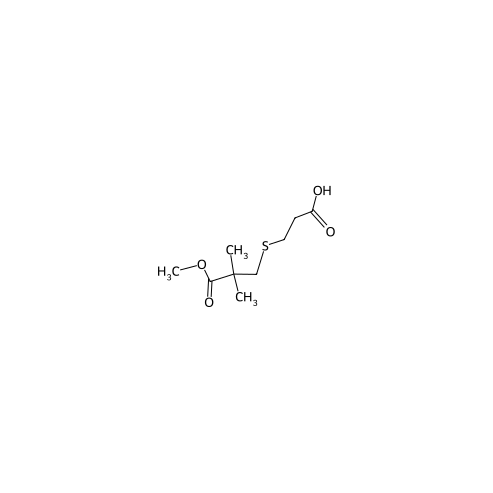 COC(=O)C(C)(C)CSCCC(=O)O